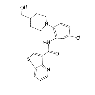 O=C(Nc1cc(Cl)ccc1N1CCC(CO)CC1)c1csc2cccnc12